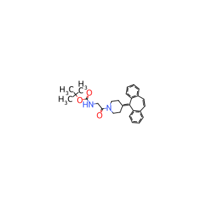 CC(C)(C)OC(=O)NCC(=O)N1CCC(=C2c3ccccc3C=Cc3ccccc32)CC1